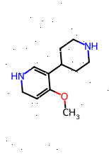 COC1=CCNC=C1C1CCNCC1